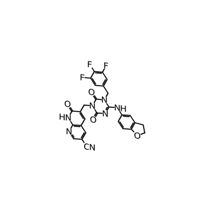 N#Cc1cnc2[nH]c(=O)c(Cn3c(=O)nc(Nc4ccc5c(c4)CCO5)n(Cc4cc(F)c(F)c(F)c4)c3=O)cc2c1